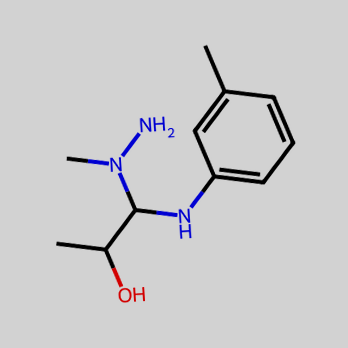 Cc1cccc(NC(C(C)O)N(C)N)c1